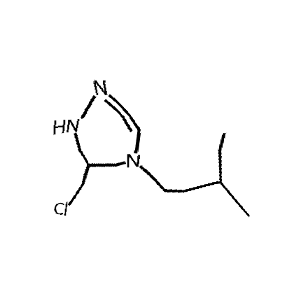 CC(C)CN1C=NNC1Cl